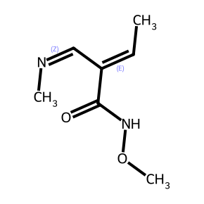 C/C=C(\C=N/C)C(=O)NOC